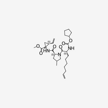 C=CCCCCC[C@H](NC(=O)OC1CCCC1)C(=O)N1CC(C)C[C@H]1C(=O)N[C@]1(C(=O)OC)C[C@H]1C=C